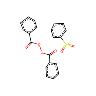 O=C(OOC(=O)c1ccccc1)c1ccccc1.O=[SH](=O)c1ccccc1